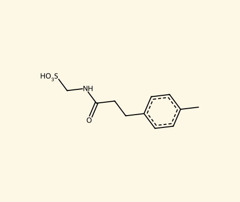 Cc1ccc(CCC(=O)NCS(=O)(=O)O)cc1